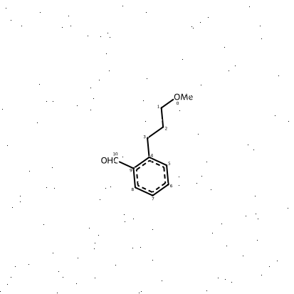 COCCCc1ccccc1C=O